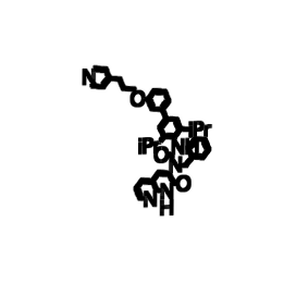 CC(C)c1cc(-c2cccc(OCCCc3ccncc3)c2)cc(C(C)C)c1NC(=O)N(Cc1ccccc1)c1cc2cccnc2[nH]c1=O